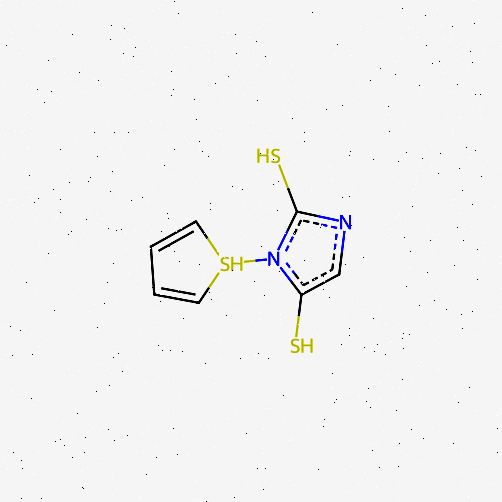 Sc1cnc(S)n1[SH]1C=CC=C1